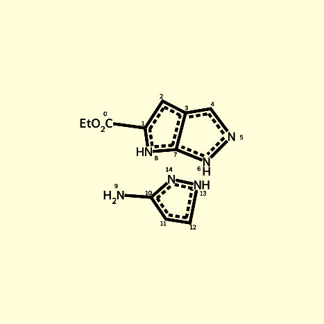 CCOC(=O)c1cc2cn[nH]c2[nH]1.Nc1cc[nH]n1